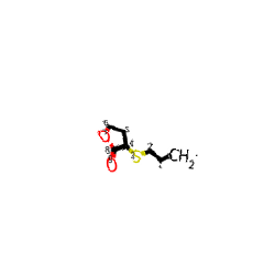 [CH2]CCSC1CCOC1=O